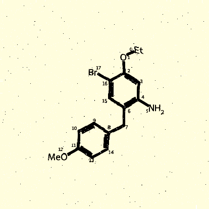 CCOc1cc(N)c(Cc2ccc(OC)cc2)cc1Br